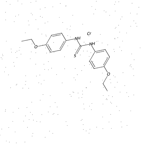 CCOc1ccc(NC(=S)Nc2ccc(OCC)cc2)cc1.[Cr]